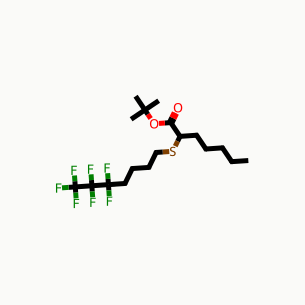 CCCCCC(SCCCCC(F)(F)C(F)(F)C(F)(F)F)C(=O)OC(C)(C)C